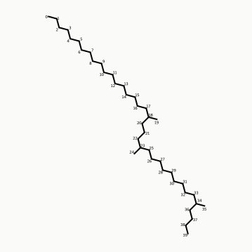 CCCCCCCCCCCCCCCCCCC(C)CCCC(C)CCCCCCCCCC(C)CCCC